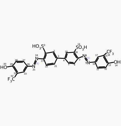 O=S(=O)(O)c1cc(-c2ccc(/N=N/c3ccc(O)c(C(F)(F)F)c3)c(S(=O)(=O)O)c2)ccc1/N=N/c1ccc(O)c(C(F)(F)F)c1